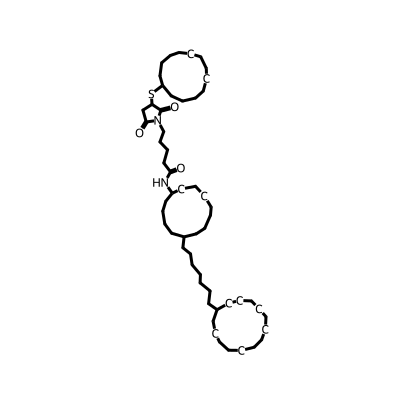 O=C(CCCCN1C(=O)CC(SC2CCCCCCCCCCCC2)C1=O)NC1CCCCCCCC(CCCCCCCC2CCCCCCCCCCCCC2)CCCC1